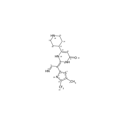 Cc1sc(/C(C=N)=C2\NC(=O)C=C(C3CCNCC3)N2)nc1C(F)(F)F